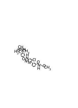 COCCNC(=O)c1cccc(-c2nc3nc(Oc4ccc(C(C)(C)NC(C)=O)cc4)[nH]c3cc2Cl)c1